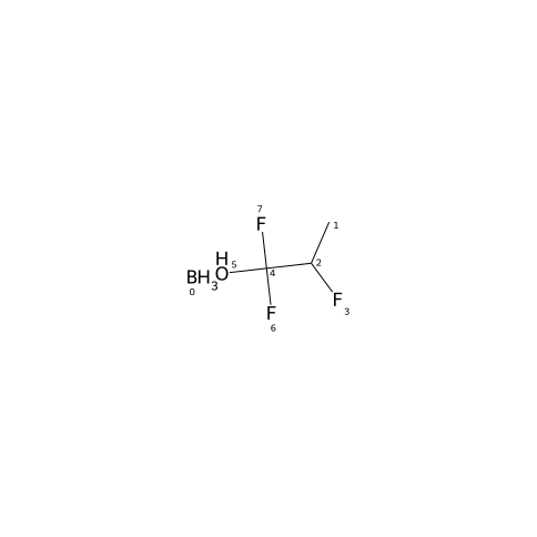 B.CC(F)C(O)(F)F